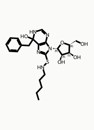 CCCCCNSc1nc2c(n1[C@@H]1O[C@H](CO)[C@@H](O)[C@H]1O)N=CNC2(O)Cc1ccccc1